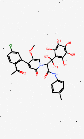 COc1cn(C(C(=O)Nc2ccc(C)cc2)C(O)(O)c2c(O)c(O)c(O)c(O)c2O)c(=O)cc1-c1cc(Cl)ccc1C(C)=O